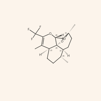 CC1=C(C(F)(F)F)O[C@@H]2O[C@]3(C)CC[C@H]4[C@H](C)CC[C@@H]1[C@@]24OO3